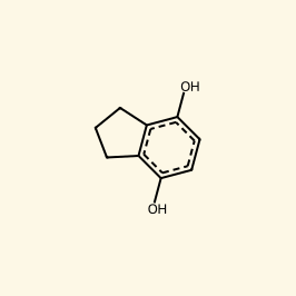 Oc1ccc(O)c2c1CCC2